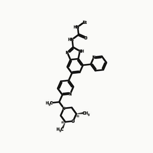 CCNC(=O)Nc1nc2cc(-c3ccc(C(C)N4C[C@@H](C)O[C@@H](C)C4)nc3)cc(-c3ccccn3)c2[nH]1